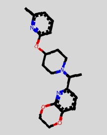 Cc1cccc(OC2CCN(C(C)c3ccc4c(n3)OCCO4)CC2)n1